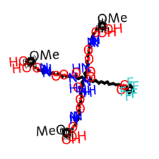 CO[C@@H]1C[C@H](COCc2cn(CCOCCOCCNC(=O)CCC(CCC(=O)NCCOCCOCCn3cc(COC[C@H]4C[C@@H](OC)C[C@@H](O)[C@H]4O)nn3)(CCC(=O)NCCOCCOCCn3cc(COC[C@H]4C[C@@H](OC)C[C@@H](O)[C@H]4O)nn3)NC(=O)CCCCCCCCCCC(=O)Oc3c(F)c(F)c(F)c(F)c3F)nn2)[C@H](O)[C@H](O)C1